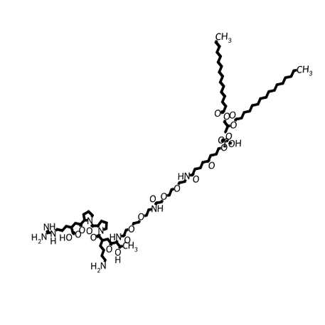 CCCCCCCCCCCCCCCC(=O)OCC(COP(=O)(O)OCCCC(=O)CCCC(=O)NCCOCCOCC(=O)NCCOCCOCC(=O)NC(C(=O)CC(CCCCN)C(=O)N1CCCC1C(=O)N1CCCC1C(=O)CC(CCCNC(=N)N)C(=O)O)C(C)O)OC(=O)CCCCCCCCCCCCCCC